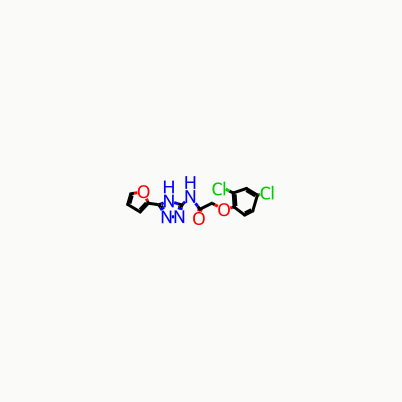 O=C(COc1ccc(Cl)cc1Cl)Nc1nnc(-c2ccco2)[nH]1